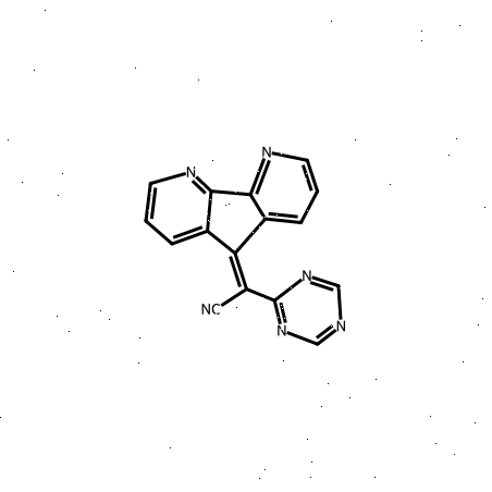 N#CC(=C1c2cccnc2-c2ncccc21)c1ncncn1